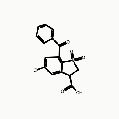 O=C(c1ccccc1)c1cc(Cl)cc2c1S(=O)(=O)CC2C(=O)O